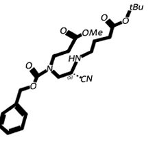 COC(=O)CCN(C[C@@H](C#N)NCCCC(=O)OC(C)(C)C)C(=O)OCc1ccccc1